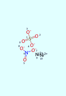 O=S(=O)([O-])[O-].O=[N+]([O-])[O-].[Ni+2].[Ni+2]